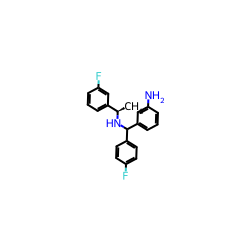 C[C@@H](NC(c1ccc(F)cc1)c1cccc(N)c1)c1cccc(F)c1